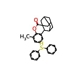 Cc1cc([SH](c2ccccc2)c2ccccc2)cc2c1OC(=O)C13CC4CC(CC(C4)C21)C3